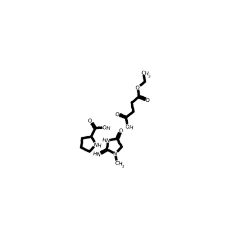 CCOC(=O)CCC(=O)O.CN1CC(=O)NC1=N.O=C(O)C1CCCN1